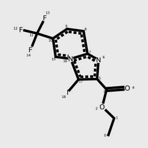 CCOC(=O)c1nc2ccc(C(F)(F)F)cn2c1I